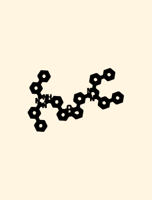 c1ccc(-c2cccc(C3=NC(c4cccc(-c5ccccc5)c4)NC(c4cccc(-c5cccc6c5oc5c(-c7cccc(-c8nc(-c9cccc(-c%10ccccc%10)c9)cc(-c9cccc(-c%10ccccc%10)c9)n8)c7)cccc56)c4)=N3)c2)cc1